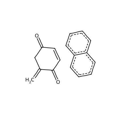 C=C1CC(=O)C=CC1=O.c1ccc2ccccc2c1